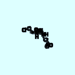 O=C(Nc1cc(NCc2ccc(Cn3ccccc3=O)cc2)cnn1)[C@H]1C[C@H]1c1cccc(Cl)c1